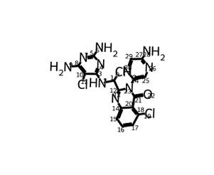 CC(Nc1nc(N)nc(N)c1Cl)c1nc2cccc(Cl)c2c(=O)n1-c1cnc(N)cn1